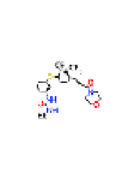 CCNC(=O)Nc1cccc(Sc2ccc(C=CC(=O)N3CCOCC3)c(C(F)(F)F)c2C(F)(F)F)c1